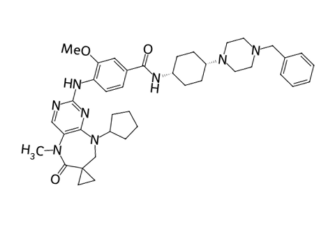 COc1cc(C(=O)N[C@H]2CC[C@@H](N3CCN(Cc4ccccc4)CC3)CC2)ccc1Nc1ncc2c(n1)N(C1CCCC1)CC1(CC1)C(=O)N2C